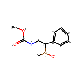 C[S+]([O-])C(CNC(=O)OC(C)(C)C)c1ccccc1